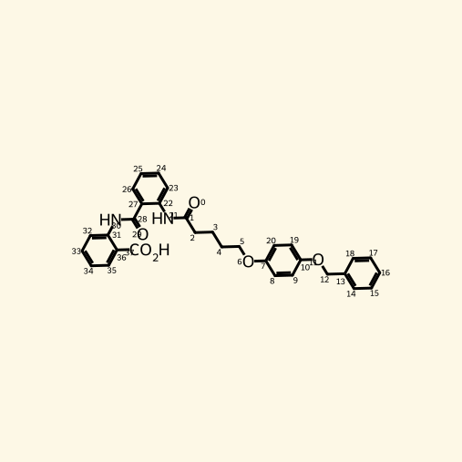 O=C(CCCCOc1ccc(OCc2ccccc2)cc1)Nc1ccccc1C(=O)Nc1ccccc1C(=O)O